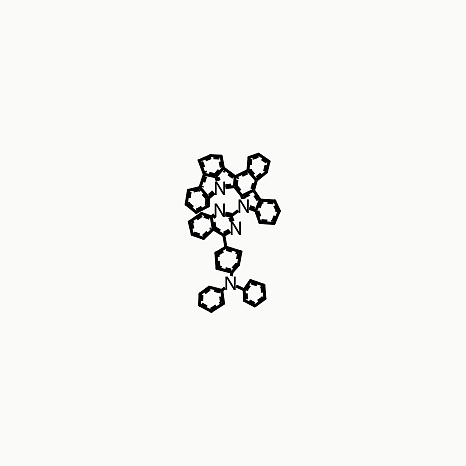 c1ccc(N(c2ccccc2)c2ccc(-c3nc(-n4c5ccccc5c5c6ccccc6c6c7cccc8c9ccccc9n(c87)c6c54)nc4ccccc34)cc2)cc1